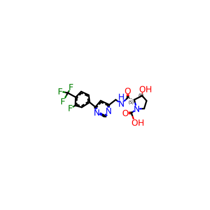 O=C(NCc1cc(-c2ccc(C(F)(F)F)c(F)c2)ncn1)[C@@H]1[C@H](O)CCN1C(=O)O